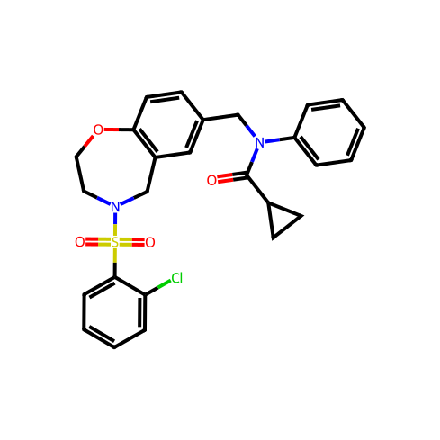 O=C(C1CC1)N(Cc1ccc2c(c1)CN(S(=O)(=O)c1ccccc1Cl)CCO2)c1ccccc1